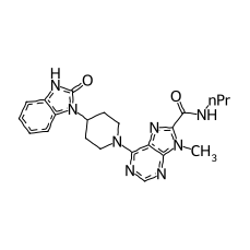 CCCNC(=O)c1nc2c(N3CCC(n4c(=O)[nH]c5ccccc54)CC3)ncnc2n1C